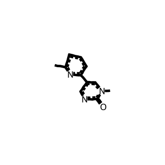 Cc1cccc(-c2cnc(=O)n(C)c2)n1